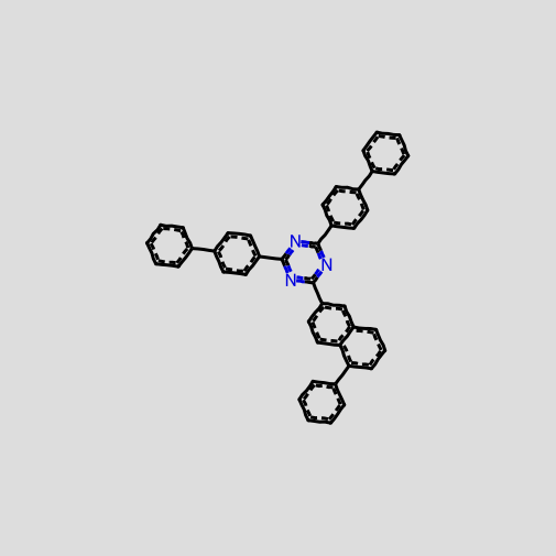 c1ccc(-c2ccc(-c3nc(-c4ccc(-c5ccccc5)cc4)nc(-c4ccc5c(-c6ccccc6)cccc5c4)n3)cc2)cc1